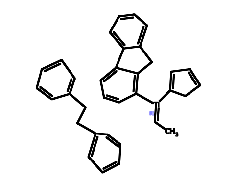 C/[CH]=[Ti](\[C]1=CC=CC1)[c]1cccc2c1Cc1ccccc1-2.c1ccc(CCc2ccccc2)cc1